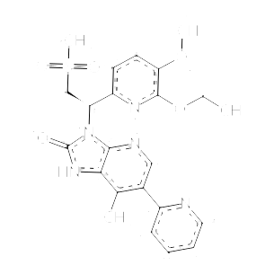 CCOc1nc([C@H](CS(C)(=O)=O)n2c(=O)[nH]c3c(C)c(-c4ccccn4)cnc32)ccc1OC